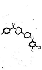 Cc1ccc(C(=O)N2CCC(N3CCC(Oc4ccc(Cl)c(Cl)c4)CC3)CC2)cc1